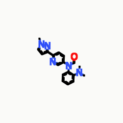 CN(C)c1ccccc1N(C=O)c1ccc(-c2ccn(C)n2)nc1